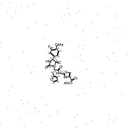 COC(=O)c1csc(NC(=O)[C@H](Cc2ccco2)N2C(=O)NC(c3ccc(OC)c(F)c3)C2=O)n1